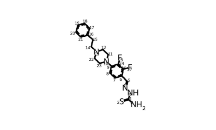 NC(=S)N/N=C/c1ccc(N2CCN(CCc3ccccc3)CC2)c(F)c1F